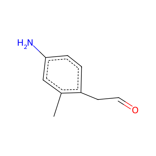 Cc1cc(N)ccc1CC=O